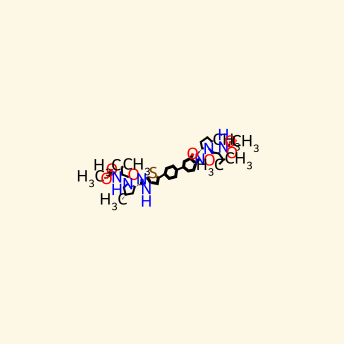 COC(=O)N[C@H](C(=O)N1C[C@@H](C)C[C@H]1c1nc2sc(-c3ccc(-c4ccc5nc([C@@H]6CC[C@H](C)N6C(=O)[C@@H](NC(=O)OC)C(C)C)oc5c4)cc3)cc2[nH]1)C(C)C